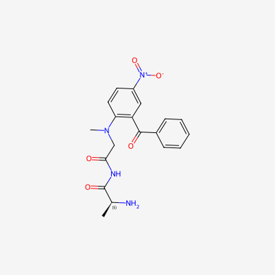 C[C@H](N)C(=O)NC(=O)CN(C)c1ccc([N+](=O)[O-])cc1C(=O)c1ccccc1